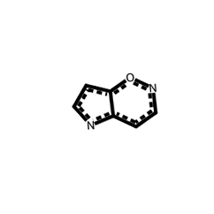 c1cc2nccc-2on1